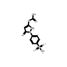 O=C(O)Oc1cc(=O)n(-c2ccc(S(=O)(=O)O)cc2)[nH]1